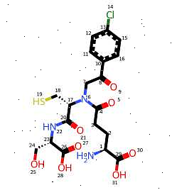 N[C@@H](CCC(=O)N(CC(=O)c1ccc(Cl)cc1)[C@@H](CS)C(=O)N[C@@H](CO)C(=O)O)C(=O)O